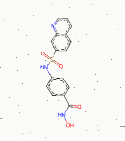 O=C(NO)c1ccc(NS(=O)(=O)c2ccc3cccnc3c2)cc1